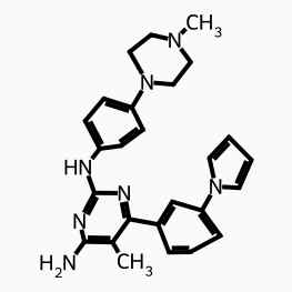 Cc1c(N)nc(Nc2ccc(N3CCN(C)CC3)cc2)nc1-c1cccc(-n2cccc2)c1